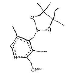 COc1ncc(C)c(B2OC(C)(C)C(C)(C)O2)c1C